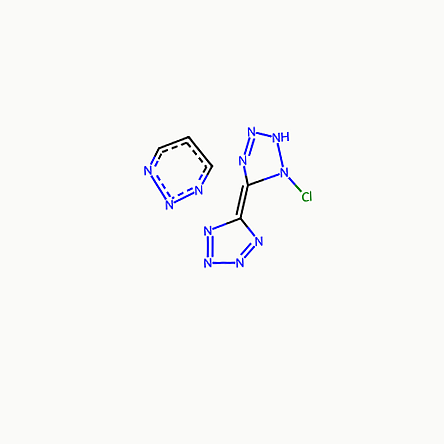 ClN1NN=NC1=C1N=NN=N1.c1cnnnc1